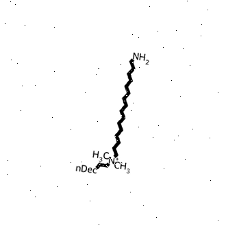 CCCCCCCCCCCC[N+](C)(C)CCCCCCCCCCCCCCCCN